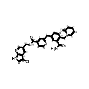 NC(=O)c1cc(Cc2cc(C(=O)NCc3cnc4[nH]cc(Cl)c4c3)ccn2)ccc1Cn1ccccc1=O